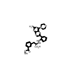 CC(C)(C)OC(=O)c1cccc(C[C@H](NNc2ccccc2-c2cnc3nc(N)nc(N4CCOCC4)c3n2)C(=O)O)c1